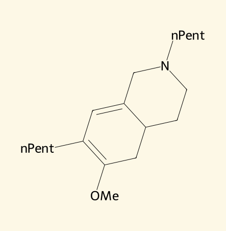 CCCCCC1=C(OC)CC2CCN(CCCCC)CC2=C1